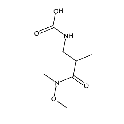 CON(C)C(=O)C(C)CNC(=O)O